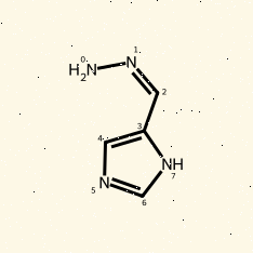 N/N=C\c1cnc[nH]1